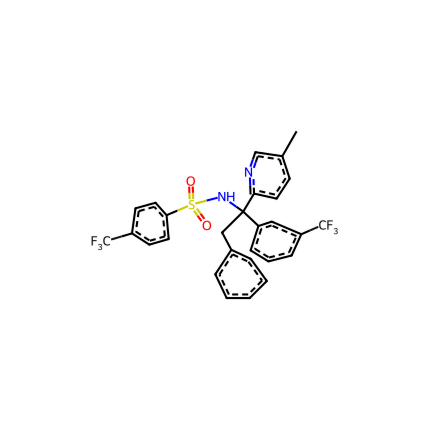 Cc1ccc(C(Cc2ccccc2)(NS(=O)(=O)c2ccc(C(F)(F)F)cc2)c2cccc(C(F)(F)F)c2)nc1